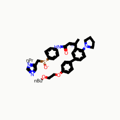 CCCCOCCOc1ccc(-c2ccc(N3CCCC3)c(/C(C)=C\C(=O)Nc3ccc([S+]([O-])Cc4cncn4CCC)cc3)c2)cc1